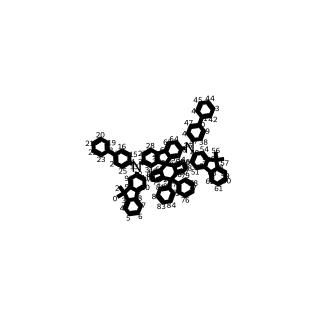 CC1(C)c2ccccc2-c2ccc(N(c3ccc(-c4ccccc4)cc3)c3ccc4c(c3)C3(c5cc(N(c6ccc(-c7ccccc7)cc6)c6ccc7c(c6)C(C)(C)c6ccccc6-7)ccc5-4)c4ccccc4C(c4ccccc4)(c4ccccc4)c4ccccc43)cc21